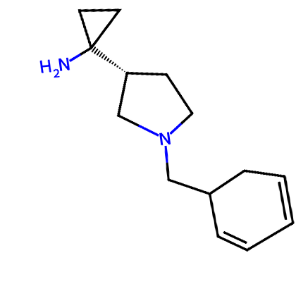 NC1([C@@H]2CCN(CC3C=CC=CC3)C2)CC1